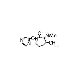 CNC1C(=O)N(Cc2cnccn2)CCCC1C